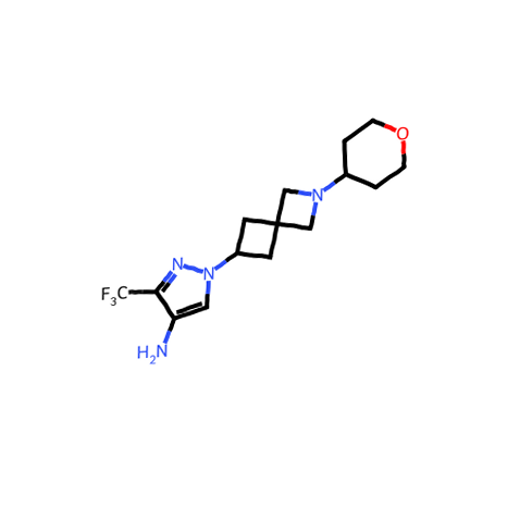 Nc1cn(C2CC3(C2)CN(C2CCOCC2)C3)nc1C(F)(F)F